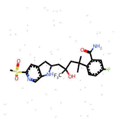 CC(C)(CC(O)(CC1Cc2cc(S(C)(=O)=O)ncc2N1)C(F)(F)F)c1ccc(F)cc1C(N)=O